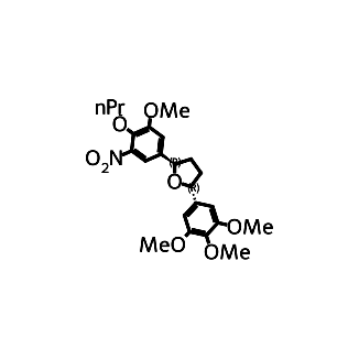 CCCOc1c(OC)cc([C@H]2CC[C@H](c3cc(OC)c(OC)c(OC)c3)O2)cc1[N+](=O)[O-]